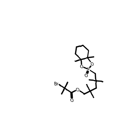 CC(C)(COC(=O)C(C)(C)Br)CC(C)(C)CP1(=O)OC2(C)CCCCC2(C)O1